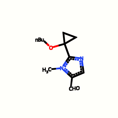 CCCCOC1(c2ncc(C=O)n2C)CC1